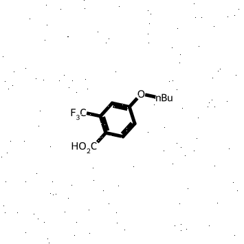 CCCCOc1ccc(C(=O)O)c(C(F)(F)F)c1